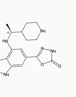 C[C@H](Nc1cc(-c2n[nH]c(=O)o2)cc2[nH]ncc12)C1CCNCC1